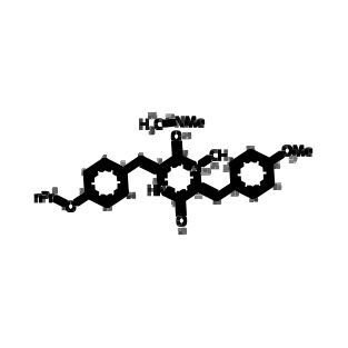 CCCOc1ccc(C=c2[nH]c(=O)c(=Cc3ccc(OC)cc3)n(C)c2=O)cc1.CNC